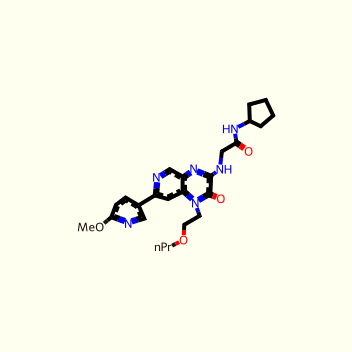 CCCOCCn1c(=O)c(NCC(=O)NC2CCCC2)nc2cnc(-c3ccc(OC)nc3)cc21